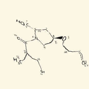 C=CCO[C@@H]1C[C@@H](C(=O)O)N(C(=O)C(C)CS)C1